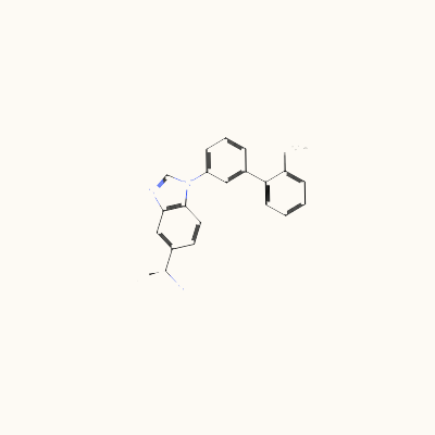 COc1ccccc1-c1cccc(-n2cnc3cc([C@H](C)N)ccc32)c1